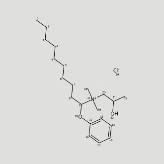 CCCCCCCCCC(Oc1ccccc1)[N+](C)(C)CC(C)O.[Cl-]